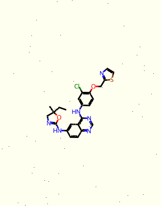 CCC1(C)CN=C(Nc2ccc3ncnc(Nc4ccc(OCc5nccs5)c(Cl)c4)c3c2)O1